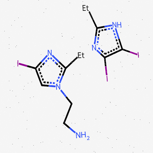 CCc1nc(I)c(I)[nH]1.CCc1nc(I)cn1CCN